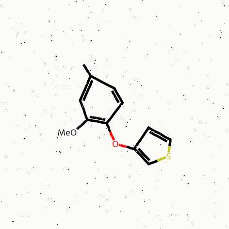 COc1cc(C)ccc1Oc1ccsc1